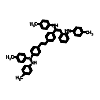 Cc1ccc(NC(=Cc2ccccc2Nc2ccc(C)cc2)c2ccc(C=Cc3ccc(N(Nc4ccc(C)cc4)c4ccc(C)cc4)cc3)cc2)cc1